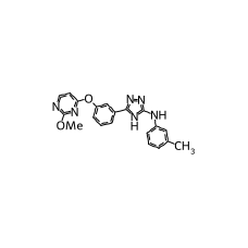 COc1nccc(Oc2cccc(-c3nnc(Nc4cccc(C)c4)[nH]3)c2)n1